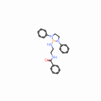 O=C(NCCNP1N(c2ccccc2)CCN1c1ccccc1)c1ccccc1